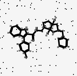 O=C(NC[C@H]1CC[C@@H]2CN(Cc3ccccc3)O[C@H]12)c1[nH]c2ccccc2c1-c1ccc(F)cc1